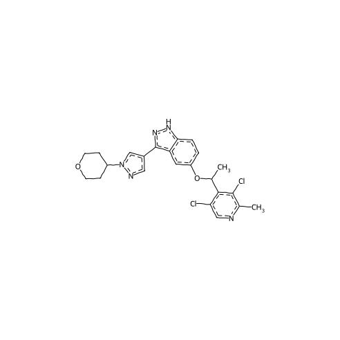 Cc1ncc(Cl)c(C(C)Oc2ccc3[nH]nc(-c4cnn(C5CCOCC5)c4)c3c2)c1Cl